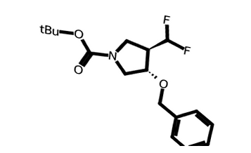 CC(C)(C)OC(=O)N1C[C@@H](OCc2ccccc2)[C@H](C(F)F)C1